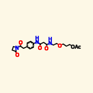 CC(=O)OCCCOCCNC(=O)CC(=O)Nc1ccc(CC(=O)N2CCC2=O)cc1